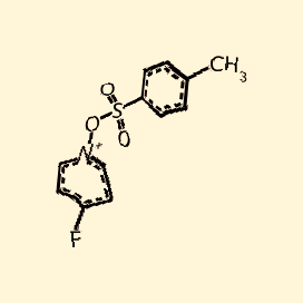 Cc1ccc(S(=O)(=O)O[n+]2ccc(F)cc2)cc1